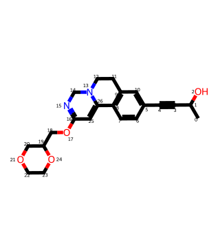 CC(O)C#Cc1ccc2c(c1)CCN1CN=C(OCC3COCCO3)C=C21